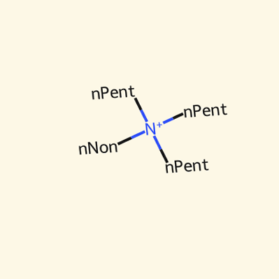 CCCCCCCCC[N+](CCCCC)(CCCCC)CCCCC